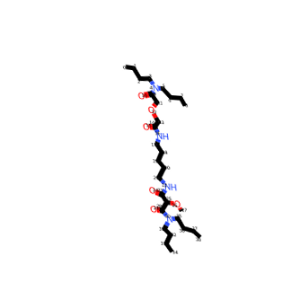 CCCCN(CCCC)C(=O)COCC(=O)NCCCCCNC(=O)C(OC)C(=O)N(CCCC)CCCC